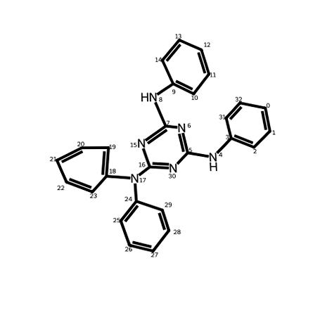 c1ccc(Nc2nc(Nc3ccccc3)nc(N(c3ccccc3)c3ccccc3)n2)cc1